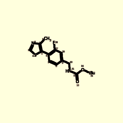 Cc1ncsc1-c1ccc(CNC(=O)OC(C)(C)C)cc1F